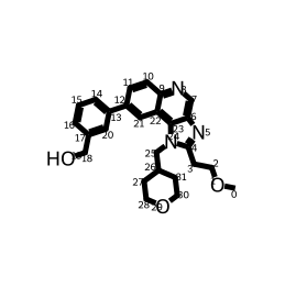 COCCc1nc2cnc3ccc(-c4cccc(CO)c4)cc3c2n1CC1CCOCC1